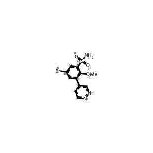 COc1c(-c2ccnnc2)cc(Br)cc1S(N)(=O)=O